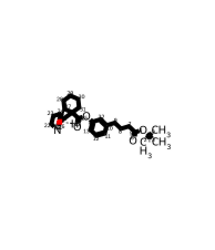 CC(C)(C)OC(=O)CCCc1cccc(OC(=O)C2([C@@H]3CN4CCC3CC4)CCCCC2)c1